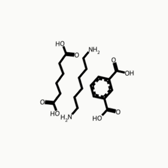 NCCCCCCN.O=C(O)CCCCC(=O)O.O=C(O)c1cccc(C(=O)O)c1